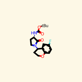 CC(C)(C)OC(=O)N[C@H]1CCN([C@@H]2CCOc3ccc(F)cc32)C1=O